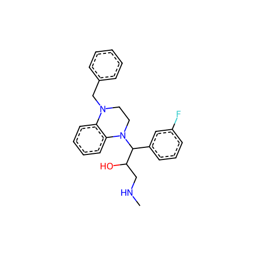 CNCC(O)C(c1cccc(F)c1)N1CCN(Cc2ccccc2)c2ccccc21